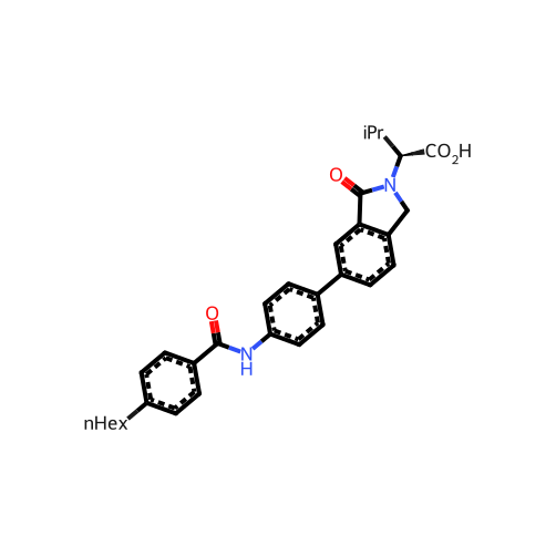 CCCCCCc1ccc(C(=O)Nc2ccc(-c3ccc4c(c3)C(=O)N([C@H](C(=O)O)C(C)C)C4)cc2)cc1